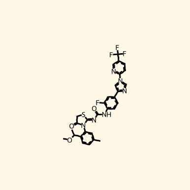 COC(C)c1ccc(C)cc1N1C(=O)CSC1=NC(=O)Nc1ccc(-c2cn(-c3ccc(C(F)(F)F)cn3)cn2)cc1F